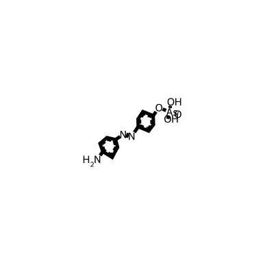 Nc1ccc(N=Nc2ccc(O[As](=O)(O)O)cc2)cc1